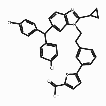 O=C(O)c1ccc(-c2cccc(CCn3c(C4CC4)nc4ccc(C(c5ccc(Cl)cc5)c5ccc(Cl)cc5)cc43)c2)s1